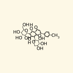 Cc1ccc(-c2cc(=O)c3c(O)c([C@@H]4OC(CO)[C@@H](O)[C@@H](O)C4O)c(O)c([C@@H]4OC[C@H](O)[C@@H](O)C4O)c3o2)cc1